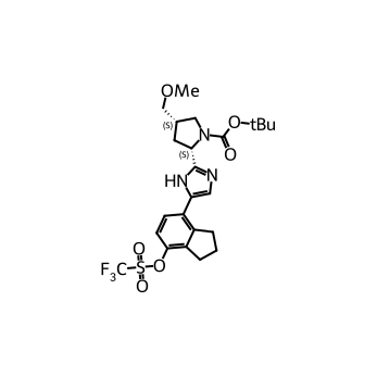 COC[C@H]1C[C@@H](c2ncc(-c3ccc(OS(=O)(=O)C(F)(F)F)c4c3CCC4)[nH]2)N(C(=O)OC(C)(C)C)C1